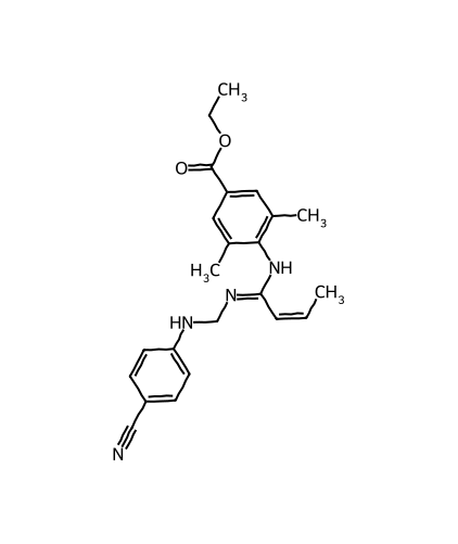 C/C=C\C(=N/CNc1ccc(C#N)cc1)Nc1c(C)cc(C(=O)OCC)cc1C